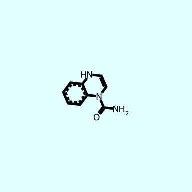 NC(=O)N1C=CNc2ccccc21